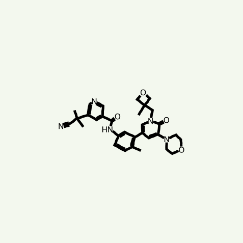 Cc1ccc(NC(=O)c2cncc(C(C)(C)C#N)c2)cc1-c1cc(N2CCOCC2)c(=O)n(CC2(C)COC2)c1